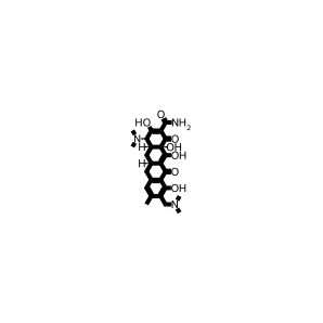 Cc1cc2c(c(O)c1CN(C)C)C(=O)C1=C(O)[C@]3(O)C(=O)C(C(N)=O)=C(O)[C@@H](N(C)C)[C@@H]3C[C@@H]1C2